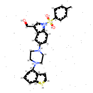 Cc1ccc(S(=O)(=O)n2cc(C=O)c3cc(N4CCN(c5cccc6sccc56)CC4)ccc32)cc1